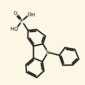 O=P(O)(O)c1ccc2c(c1)c1ccccc1n2-c1ccccc1